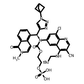 Cn1ccc2c([C@@H](c3cn(C45CC(C4)C5)nn3)N(C(=O)OCCOP(=O)(O)O)c3cc(Cl)c4ncc(C#N)c(NCC(C)(C)C)c4c3)cccc2c1=O